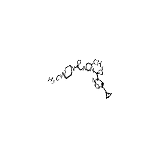 CC1CN(CC(=O)N2CCN(C)CC2)CN1C(=O)c1cc(C2CC2)on1